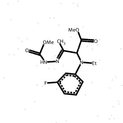 CCN(c1cccc(F)c1)C(C(=O)OC)C(C)=NNC(=O)OC